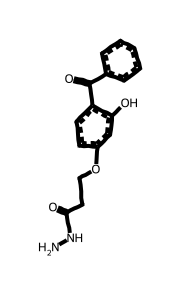 NNC(=O)CCOc1ccc(C(=O)c2ccccc2)c(O)c1